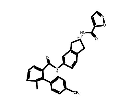 Cc1cccc(C(=O)Nc2ccc3c(c2)C[C@H](NC(=O)c2ccno2)C3)c1-c1ccc(C(F)(F)F)cc1